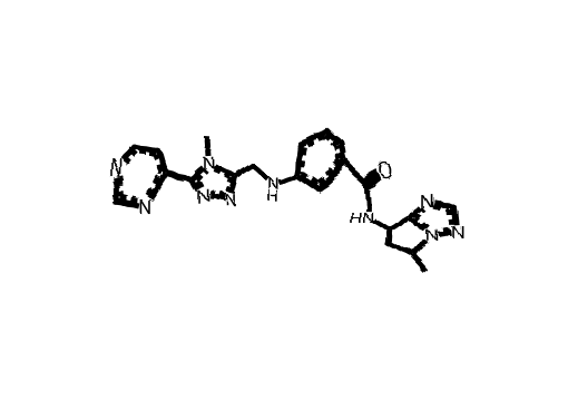 CC1CC(NC(=O)c2cccc(NCc3nnc(-c4ccncn4)n3C)c2)c2ncnn21